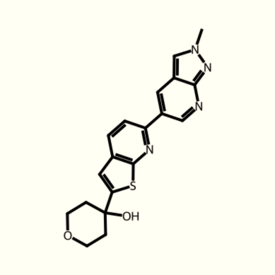 Cn1cc2cc(-c3ccc4cc(C5(O)CCOCC5)sc4n3)cnc2n1